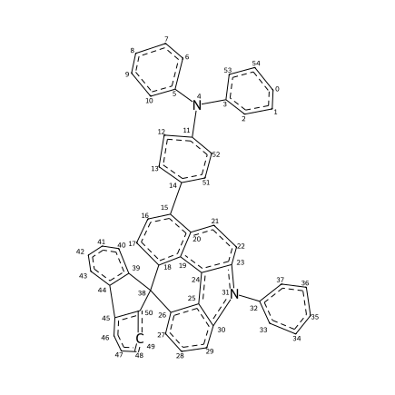 c1ccc(N(c2ccccc2)c2ccc(-c3ccc4c5c3ccc3c5c5c(cccc5n3-c3ccccc3)C43c4ccccc4-c4ccccc43)cc2)cc1